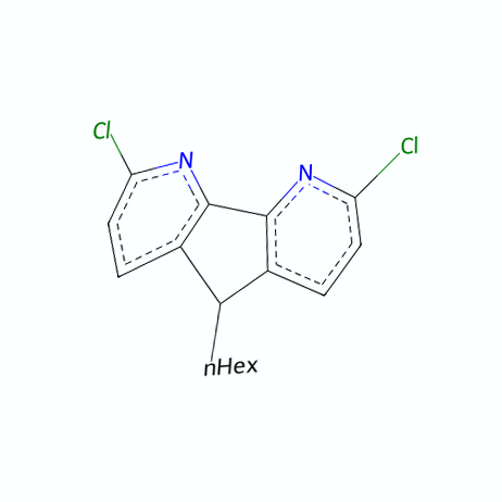 CCCCCCC1c2ccc(Cl)nc2-c2nc(Cl)ccc21